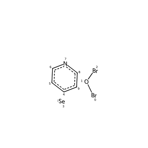 BrOBr.[Se].c1ccncc1